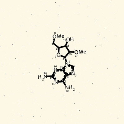 COCC1OC(n2cnc3c(N)nc(N)nc32)C(OC)C1O